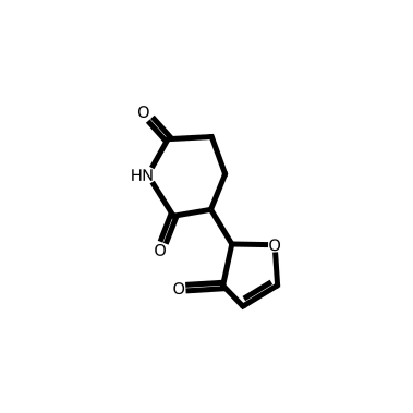 O=C1CCC(C2OC=CC2=O)C(=O)N1